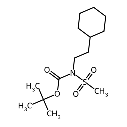 CC(C)(C)OC(=O)N(CCC1CCCCC1)S(C)(=O)=O